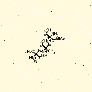 CCN[C@@](C)(CS)CN[C@@](C)(CS)CN[C@@](N)(CS)CNC